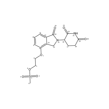 CS(=O)(=O)OCCOc1cccc2c1CN(C1CCC(=O)NC1=O)C2=O